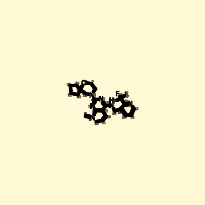 C=Nc1nc(N2CCOC3(CCCC3)C2)nc(NCc2cccnc2C(F)(F)F)c1/C=C\C